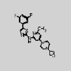 Cc1cc(N2CCN(C3COC3)CC2)cc(Nc2ncc(-c3cc(F)cc(F)c3)s2)n1